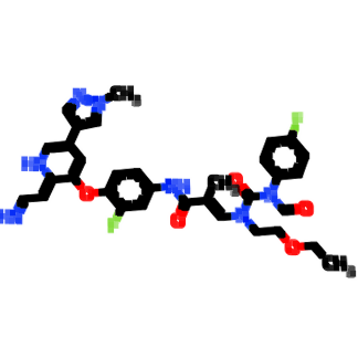 CCOCCN(/C=C(\C)C(=O)Nc1ccc(OC2=CC(c3cnn(C)c3)=CN/C2=C\C=N)c(F)c1)C(=O)N(C=O)c1ccc(F)cc1